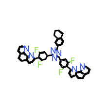 FC1=CC(c2nc(-c3cc(F)c(-c4ccc5ccc6cccnc6c5n4)c(F)c3)nc(-c3ccc4c(c3)CCC=C4)n2)CC(F)=C1c1ccc2ccc3cccnc3c2n1